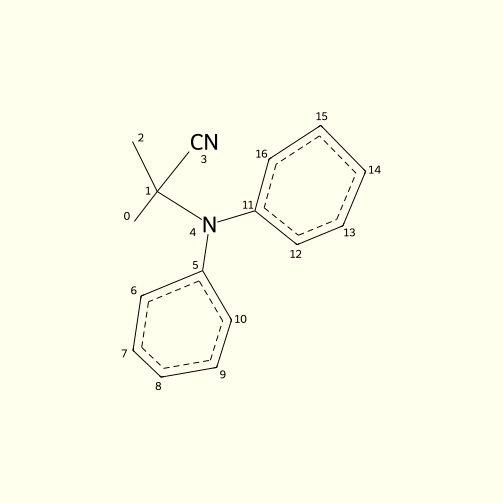 CC(C)(C#N)N(c1ccccc1)c1ccccc1